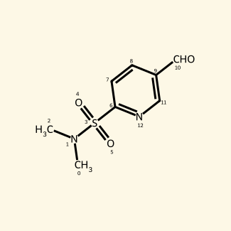 CN(C)S(=O)(=O)c1ccc(C=O)cn1